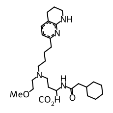 COCCN(CCCCc1ccc2c(n1)NCCC2)CCC(NC(=O)CC1CCCCC1)C(=O)O